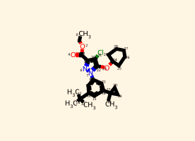 CCOC(=O)c1nn(-c2cc(C(C)(C)C)cc(C3(C)CC3)c2)c(OC2CCCCC2)c1Cl